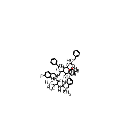 CC(C)[C@H](NC(=O)N(C)Cc1ccccn1)C(=O)NN(Cc1ccc(F)cc1)CC(OC(=O)c1ccccc1)C(C(=O)[C@@H](NC(=O)OCc1ccccc1)C(C)C)C(N)c1ccc(F)cc1